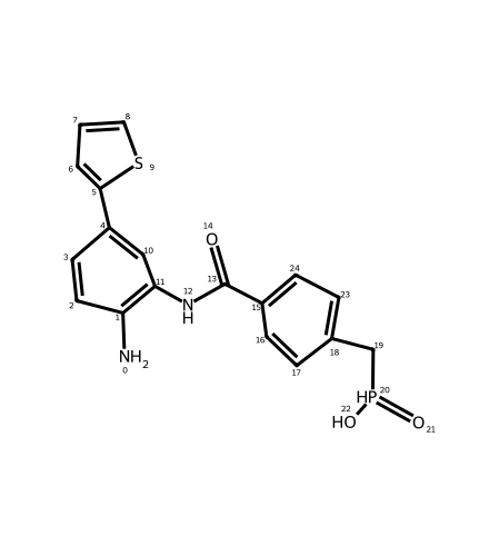 Nc1ccc(-c2cccs2)cc1NC(=O)c1ccc(C[PH](=O)O)cc1